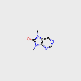 Cn1c(=O)n(C)c2ncncc21